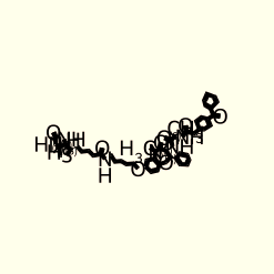 C[C@H](NC(=O)Cc1ccc(C(=O)c2ccccc2)cc1)C(=O)N[C@@H]1C(=O)N(C)c2cc(OCCCCCNC(=O)CCCC[C@@H]3SC[C@@H]4NC(=O)N[C@@H]43)ccc2O[C@@H]1c1ccccc1